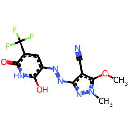 COc1c(C#N)c(N=Nc2cc(C(F)(F)F)c(=O)[nH]c2O)nn1C